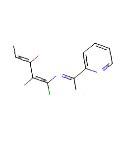 CC/C=C(O)/C(=C(Cl)\N=C(/C)c1ccccn1)C(F)(F)F